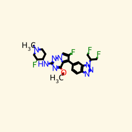 COc1nc(N[C@H]2CCN(C)C[C@H]2F)nn2cc(F)c(-c3ccc4nnn(C(CF)CF)c4c3)c12